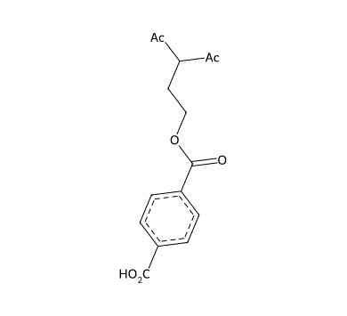 CC(=O)C(CCOC(=O)c1ccc(C(=O)O)cc1)C(C)=O